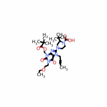 CC#CCn1c(N2CCN(C(=O)O)C(C(C)(C)C)C2)nc2c1c(=O)n(CCOCC)c(=O)n2COC(=O)C(C)(C)C